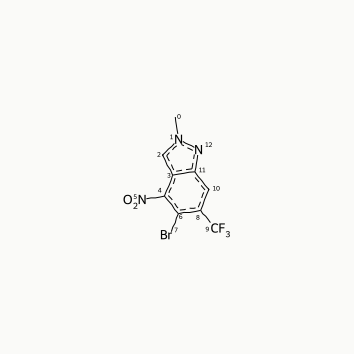 Cn1cc2c([N+](=O)[O-])c(Br)c(C(F)(F)F)cc2n1